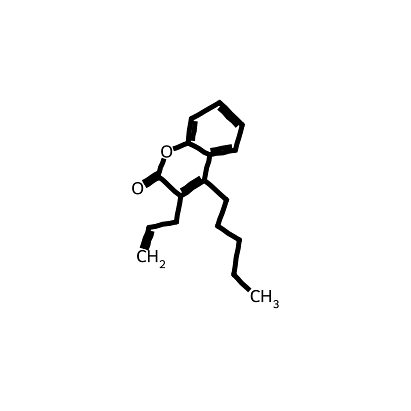 C=CCc1c(CCCCC)c2ccccc2oc1=O